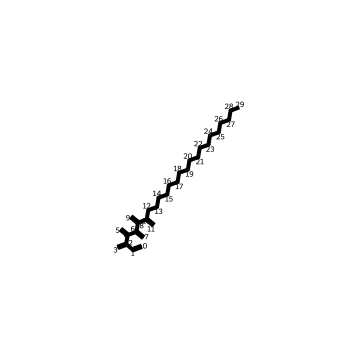 C=CC(=C)C(=C)C(=C)C(=C)C(=C)CCCCCCCCCCCCCCCCCC